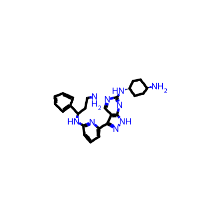 NCCC(Nc1cccc(-c2n[nH]c3nc(N[C@H]4CC[C@H](N)CC4)ncc23)n1)c1ccccc1